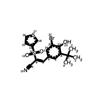 CC(C)(C)c1cc(/C=C(/C#N)S(=O)(=O)c2ccsc2)cc(Br)c1O